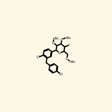 CCCCOCC1OC(c2ccc(Cl)c(Cc3ccc(CC)cc3)c2)C(OCCCC)C(OCCCC)C1F